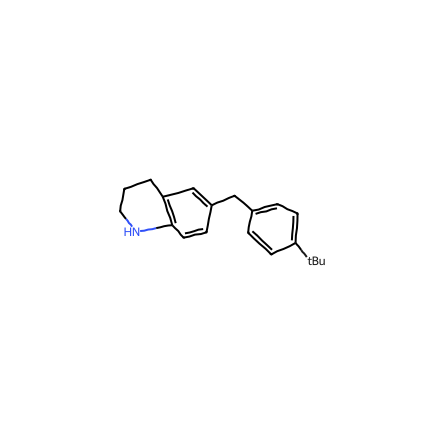 CC(C)(C)c1ccc(Cc2ccc3c(c2)CCCN3)cc1